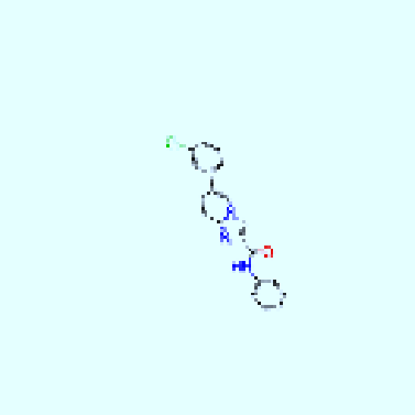 O=C(Nc1ccccc1)c1cn2cc(-c3cccc(Cl)c3)ccc2n1